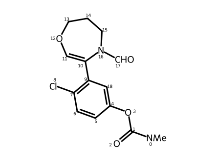 CNC(=O)Oc1ccc(Cl)c(C2=COCCCN2C=O)c1